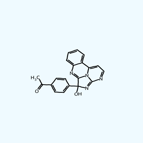 CC(=O)c1ccc(C2(O)N=C3N=CC=C4c5ccccc5N=C2N43)cc1